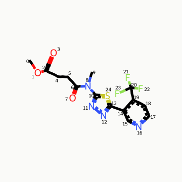 COC(=O)CCC(=O)N(C)c1nnc(-c2cnccc2C(F)(F)F)s1